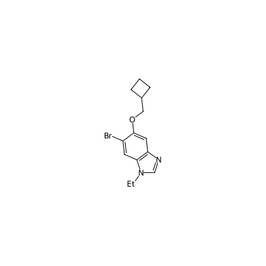 CCn1cnc2cc(OCC3CCC3)c(Br)cc21